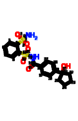 NS(=O)(=O)c1ccccc1S(=O)(=O)NC(=O)c1ccc(C2(O)CCCC2)cc1